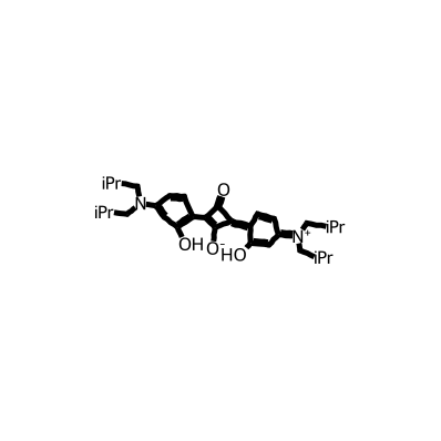 CC(C)CN(CC(C)C)c1ccc(C2=C([O-])/C(=C3/C=CC(=[N+](CC(C)C)CC(C)C)C=C3O)C2=O)c(O)c1